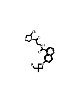 CC1(CF)CN(c2ccc3nccc(C(=O)NCC(=O)N4CSCC4C#N)c3c2)C1